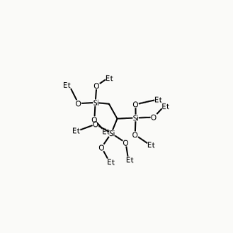 CCO[Si](CC([Si](OCC)(OCC)OCC)[Si](OCC)(OCC)OCC)(OCC)OCC